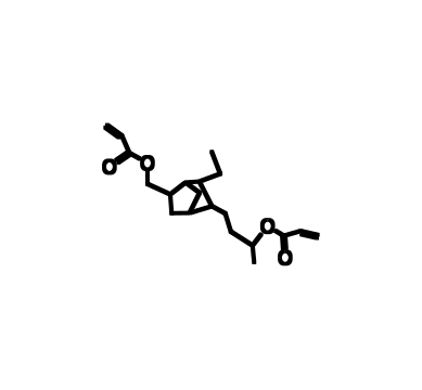 C=CC(=O)OCC1CC2CC1C(CC)C2CCC(C)OC(=O)C=C